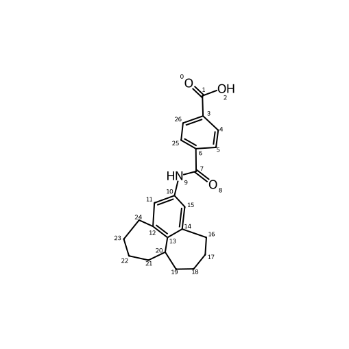 O=C(O)c1ccc(C(=O)Nc2cc3c4c(c2)CCCCC4CCCC3)cc1